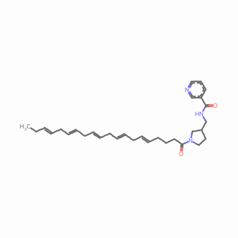 CCC=CCC=CCC=CCC=CCC=CCCCC(=O)N1CCC(CNC(=O)c2cccnc2)C1